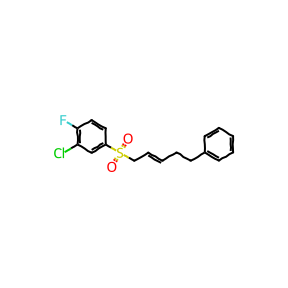 O=S(=O)(CC=CCCc1ccccc1)c1ccc(F)c(Cl)c1